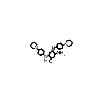 NC1=CC(=O)C(Nc2ccc(N3CCCCC3)cc2)=C/C1=N/c1ccc(N2CCCCC2)cc1